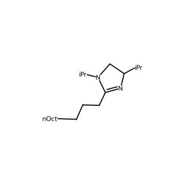 CCCCCCCCCCCC1=NC(C(C)C)CN1C(C)C